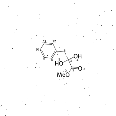 COC(=O)C(O)(O)Cc1ccccc1